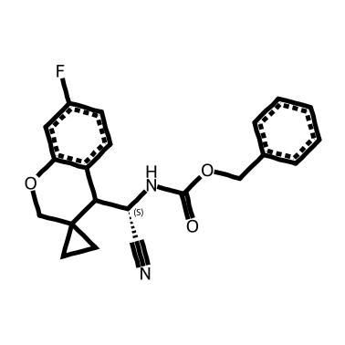 N#C[C@@H](NC(=O)OCc1ccccc1)C1c2ccc(F)cc2OCC12CC2